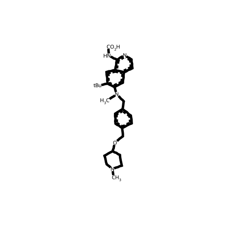 CN1CCC(OCc2ccc(CN(C)c3cc4ccnc(NC(=O)O)c4cc3C(C)(C)C)cc2)CC1